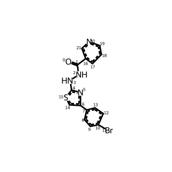 O=C(NNc1nc(-c2ccc(Br)cc2)cs1)c1cccnc1